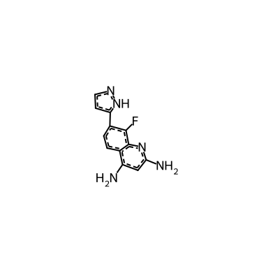 Nc1cc(N)c2ccc(-c3ccn[nH]3)c(F)c2n1